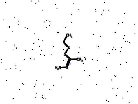 CCSS/C(C)=N\N